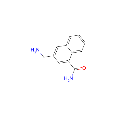 NCc1cc(C(N)=O)c2ccccc2c1